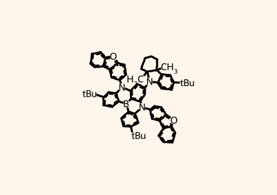 CC(C)(C)c1ccc2c(c1)N(c1ccc3oc4ccccc4c3c1)c1cc(N3c4ccc(C(C)(C)C)cc4C4(C)CCCCC34C)cc3c1B2c1ccc(C(C)(C)C)cc1N3c1ccc2oc3ccccc3c2c1